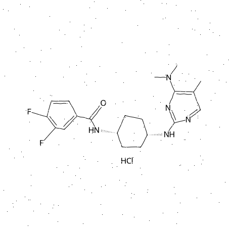 Cc1cnc(N[C@H]2CC[C@@H](NC(=O)c3ccc(F)c(F)c3)CC2)nc1N(C)C.Cl